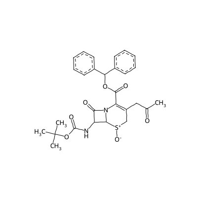 CC(=O)CC1=C(C(=O)OC(c2ccccc2)c2ccccc2)N2C(=O)C(NC(=O)OC(C)(C)C)C2[S+]([O-])C1